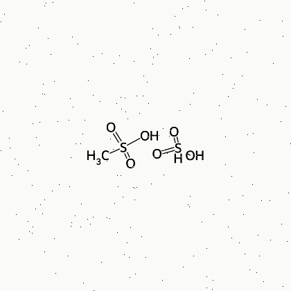 CS(=O)(=O)O.O=[SH](=O)O